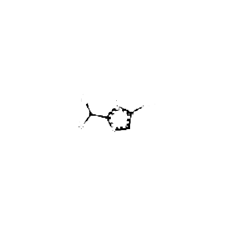 CCC(O)c1ncc(C=O)s1